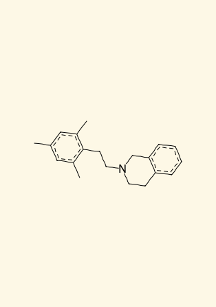 Cc1cc(C)c(CCN2CCc3ccccc3C2)c(C)c1